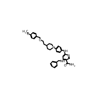 COc1ccc(COCCC2CCN(c3ccc(Nc4cc(NCc5ccccc5)c(C(N)=O)cn4)cc3)CC2)cc1